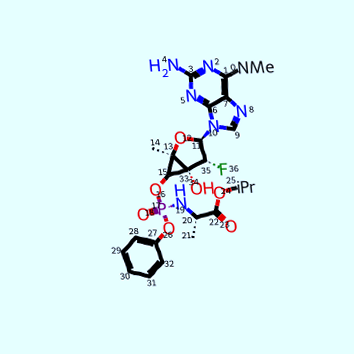 CNc1nc(N)nc2c1ncn2[C@@H]1O[C@]2(C)C(O[P@@](=O)(N[C@@H](C)C(=O)OC(C)C)Oc3ccccc3)[C@]2(O)[C@H]1F